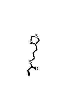 C=CC(=O)SCCCC1CSCS1